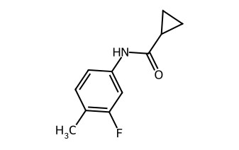 Cc1ccc(NC(=O)C2CC2)cc1F